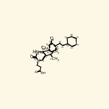 CC(C)C1=CN(CCC(=O)O)C(=O)N[C@@]1(C)c1ccc(CCC2CCCCC2)c(Cl)c1